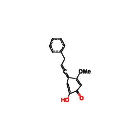 COC1=CC(=O)C(O)=CC1=C=CCc1ccccc1